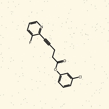 O=C(CCC#Cc1ncccc1F)Oc1cccc(Cl)c1